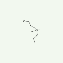 CCO[Si](C)(C)CCCCl